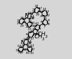 CC1(C)c2cc(-c3cccc(-c4cccc(-c5cccc(-c6cnc7c8ccccc8c8ccccc8c7n6)c5)c4)c3)ccc2-c2ccc(-c3cnc4c5ccccc5c5ccccc5c4n3)cc21